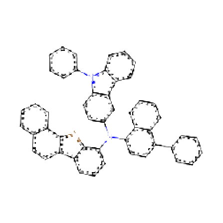 c1ccc(-c2ccc(N(c3ccc4c(c3)c3ccccc3n4-c3ccccc3)c3cccc4c3sc3c5ccccc5ccc43)c3ccccc23)cc1